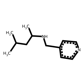 CC(C)CC(C)NCc1ccncc1